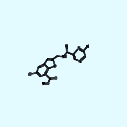 COC(=O)c1cc(Cl)cc2cc(CNC(=O)c3cncc(Cl)n3)oc12